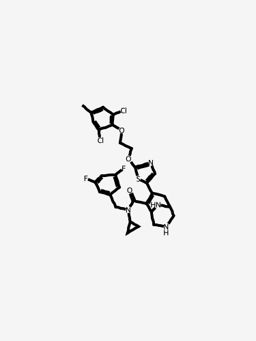 Cc1cc(Cl)c(OCCOc2ncc(C3=C(C(=O)N(Cc4cc(F)cc(F)c4)C4CC4)C4CNCC(C3)N4)s2)c(Cl)c1